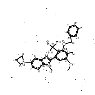 COc1cc(-c2nc3cc(N4CCC4)ccc3n2C)c(C(F)(F)F)c(OCc2ccccc2)c1C